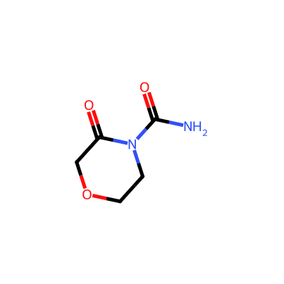 NC(=O)N1CCOCC1=O